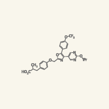 CC(C)Oc1ncc(-c2nc(COc3ccc(CC(C)C(=O)O)cc3)oc2-c2ccc(OC(F)(F)F)cc2)cn1